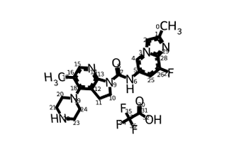 Cc1cn2cc(NC(=O)N3CCc4c3ncc(C)c4N3CCNCC3)cc(F)c2n1.O=C(O)C(F)(F)F